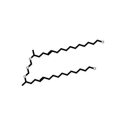 CC(CCC=CCCCCCCCCCCCl)OCOCOC(C)CCC=CCCCCCCCCCCCl